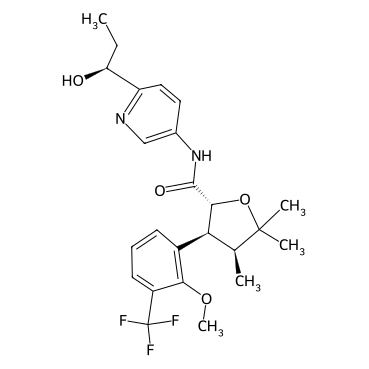 CC[C@H](O)c1ccc(NC(=O)[C@@H]2OC(C)(C)[C@@H](C)[C@H]2c2cccc(C(F)(F)F)c2OC)cn1